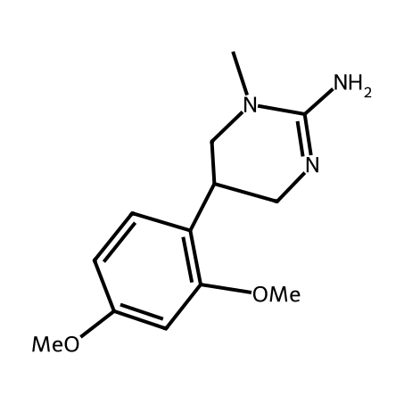 COc1ccc(C2CN=C(N)N(C)C2)c(OC)c1